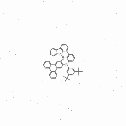 CC(C)(C)c1cc(N2c3cc4c5ccccc5c5ccccc5c4cc3B3c4c(cccc42)-c2cccc4c5ccccc5n3c24)cc(C(C)(C)C)c1